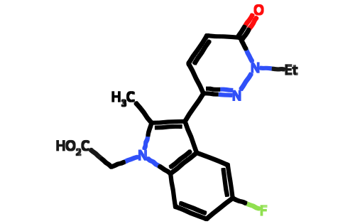 CCn1nc(-c2c(C)n(CC(=O)O)c3ccc(F)cc23)ccc1=O